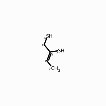 CC=C(S)[CH]S